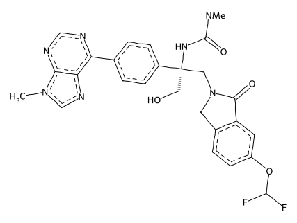 CNC(=O)N[C@@](CO)(CN1Cc2ccc(OC(F)F)cc2C1=O)c1ccc(-c2ncnc3c2ncn3C)cc1